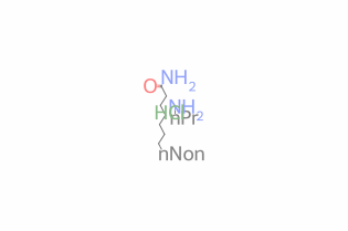 CCCCCCCCCCCCCCCC(N)=O.CCCN.Cl